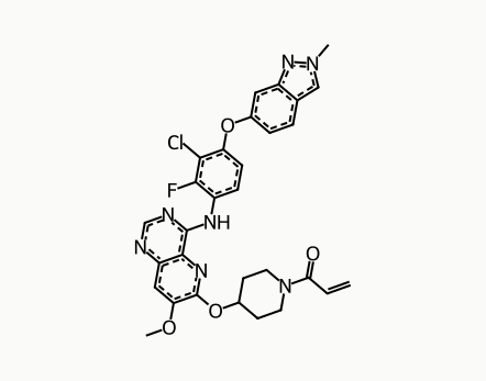 C=CC(=O)N1CCC(Oc2nc3c(Nc4ccc(Oc5ccc6cn(C)nc6c5)c(Cl)c4F)ncnc3cc2OC)CC1